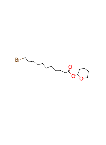 O=C(CCCCCCCCCCBr)OC1CCCCO1